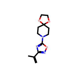 C=C(C)c1noc(N2CCC3(CC2)OCCO3)n1